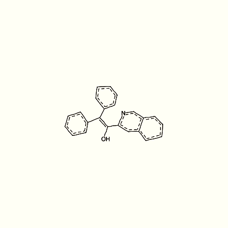 OC(=C(c1ccccc1)c1ccccc1)c1cc2ccccc2cn1